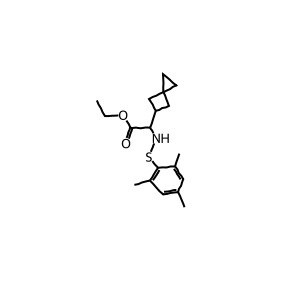 CCOC(=O)C(NSc1c(C)cc(C)cc1C)C1CC2(CC2)C1